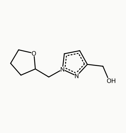 OCc1ccn(CC2CCCO2)n1